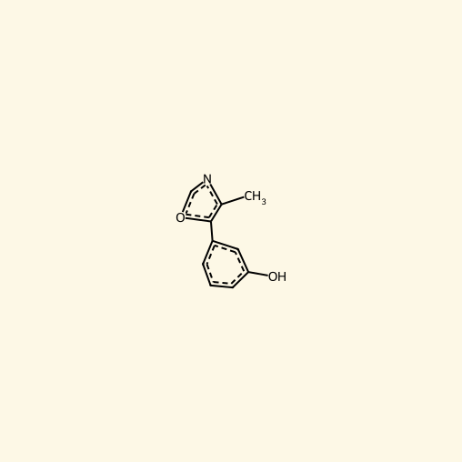 Cc1ncoc1-c1cccc(O)c1